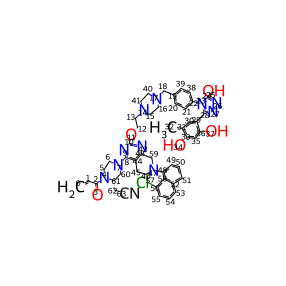 C=CC(=O)N1CCN(c2nc(OCCN3CCN(Cc4ccc(-n5c(O)nnc5-c5cc(C)c(O)cc5O)cc4)CC3)nc3c2CCN(c2cccc4cccc(Cl)c24)C3)C[C@@H]1CC#N